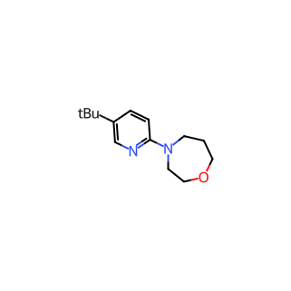 CC(C)(C)c1ccc(N2CCCOCC2)nc1